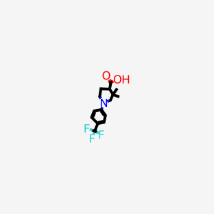 CC1(C)CN(c2ccc(C(F)(F)F)cc2)CCC1C(=O)O